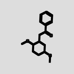 COC1CCC(OC)C(CC(=O)c2ccccc2)C1